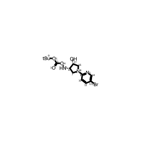 CC(C)(C)OC(=O)ON[C@H]1CN(c2ccc(Br)cn2)C[C@H]1O